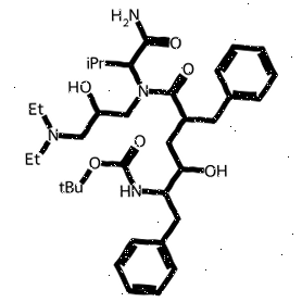 CCN(CC)CC(O)CN(C(=O)C(Cc1ccccc1)CC(O)C(Cc1ccccc1)NC(=O)OC(C)(C)C)C(C(N)=O)C(C)C